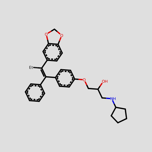 CCC(=C(c1ccccc1)c1ccc(OCC(O)CNC2CCCC2)cc1)c1ccc2c(c1)OCO2